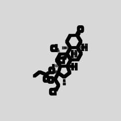 CCC(=O)O[C@@]1(C(=O)CCl)[C@@H](C)C[C@H]2[C@@H]3CC[C@@H]4CC(=O)CC[C@]4(C)[C@@]3(Cl)[C@@H](Cl)C[C@@]21C